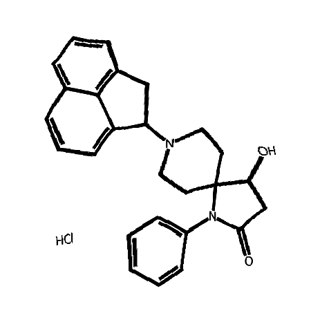 Cl.O=C1CC(O)C2(CCN(C3Cc4cccc5cccc3c45)CC2)N1c1ccccc1